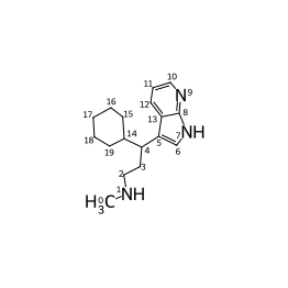 CNCCC(c1c[nH]c2ncccc12)C1CCCCC1